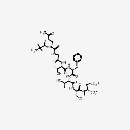 C[C@@H](O)[C@H](NC(=O)CNC(=O)[C@H](CCC(N)=O)NC(=O)C(C)(C)N)C(=O)N[C@@H](Cc1ccccc1)C(=O)N[C@H](C(=O)N[C@@H](CO)C(=O)N[C@@H](CC(=O)O)C(=O)O)[C@@H](C)O